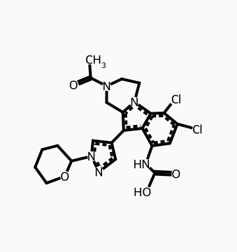 CC(=O)N1CCn2c(c(-c3cnn(C4CCCCO4)c3)c3c(NC(=O)O)cc(Cl)c(Cl)c32)C1